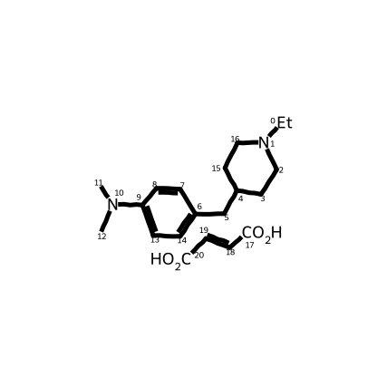 CCN1CCC(Cc2ccc(N(C)C)cc2)CC1.O=C(O)/C=C/C(=O)O